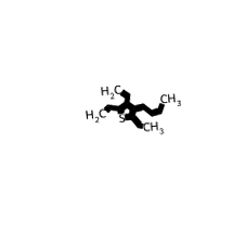 C=Cc1sc(=C/C)/c(=C\C=C/C)c1C=C